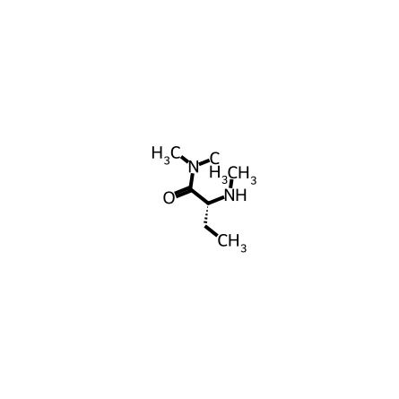 CC[C@@H](NC)C(=O)N(C)C